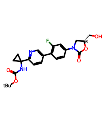 CC(C)(C)OC(=O)NC1(c2ccc(-c3ccc(N4C[C@H](CO)OC4=O)cc3F)cn2)CC1